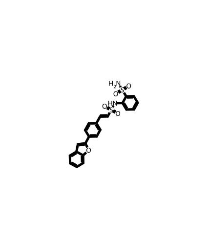 NS(=O)(=O)c1ccccc1NS(=O)(=O)/C=C/c1ccc(-c2cc3ccccc3o2)cc1